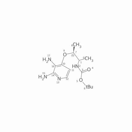 CC(NC(=O)OC(C)(C)C)[C@H](C)Oc1ccnc(N)c1N